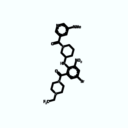 CNc1cncc(C(=O)N2CCCC(Nc3c(C(=O)N4CCN(CC(F)(F)F)CC4)cc(Br)cc3[N+](=O)[O-])C2)c1